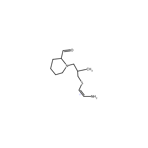 CC(CS/C=C\N)CN1CCCCC1C=O